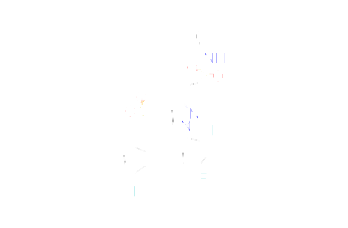 C[C@@H](NS(=O)(=O)/C=C/c1nn(-c2ccc(F)cc2F)c2c1CS(=O)(=O)CC2Cc1cccc(F)c1)C1CCCCC1